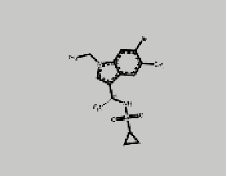 Cc1cc2c([C@H](NS(=O)(=O)C3CC3)C(F)(F)F)cn(CC(C)(C)C)c2cc1Br